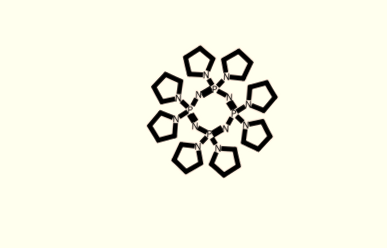 C1CCN(P2(N3CCCC3)=NP(N3CCCC3)(N3CCCC3)=NP(N3CCCC3)(N3CCCC3)=NP(N3CCCC3)(N3CCCC3)=N2)C1